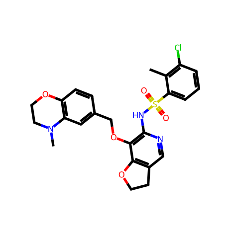 Cc1c(Cl)cccc1S(=O)(=O)Nc1ncc2c(c1OCc1ccc3c(c1)N(C)CCO3)OCC2